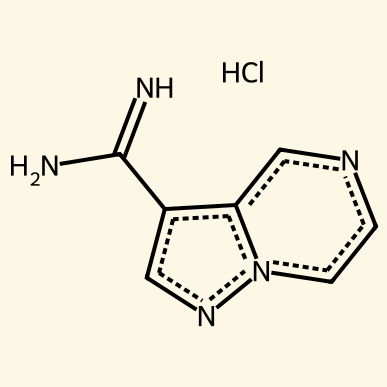 Cl.N=C(N)c1cnn2ccncc12